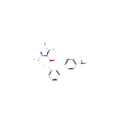 Cn1nc(C(F)F)c(C(=O)Nc2ccccc2Oc2ccc(C(F)(F)F)cc2Br)c1F